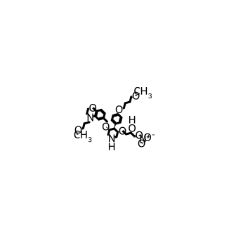 COCCCCOc1ccc([C@@H]2[C@@H](OCc3ccc4c(c3)N(CCCOC)CCO4)CNC[C@H]2OC[C@@H](O)CO[N+](=O)[O-])cc1